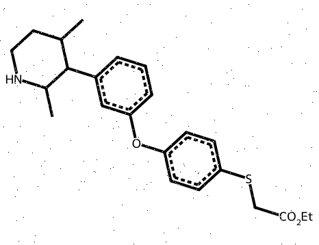 CCOC(=O)CSc1ccc(Oc2cccc(C3C(C)CCNC3C)c2)cc1